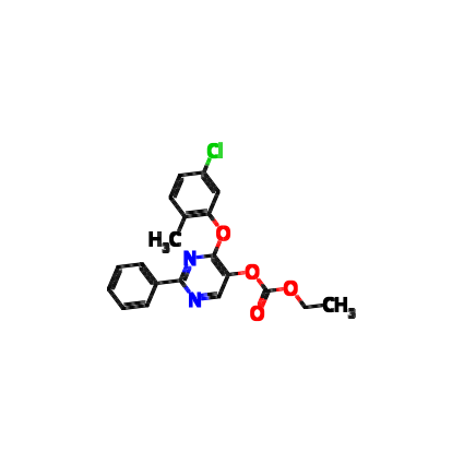 CCOC(=O)Oc1cnc(-c2ccccc2)nc1Oc1cc(Cl)ccc1C